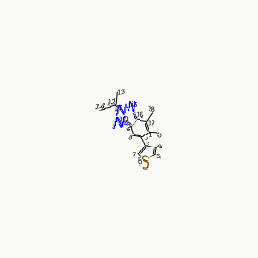 Cc1c(-c2ccsc2)cc2nn(C(C)C)nc2c1C